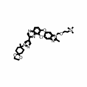 Cc1nc2ccc(Oc3ccc4ncc(-c5cnn(C6(C)CCC7(CC6)OCCO7)c5)nc4c3Cl)cc2n1COCC[Si](C)(C)C